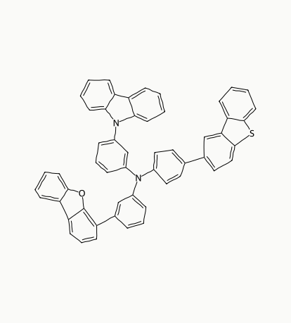 c1cc(-c2cccc3c2oc2ccccc23)cc(N(c2ccc(-c3ccc4sc5ccccc5c4c3)cc2)c2cccc(-n3c4ccccc4c4ccccc43)c2)c1